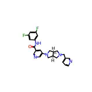 O=C(Nc1cc(F)cc(F)c1)c1cncc(N2C[C@H]3CN(Cc4cccnc4)C[C@H]3C2)c1